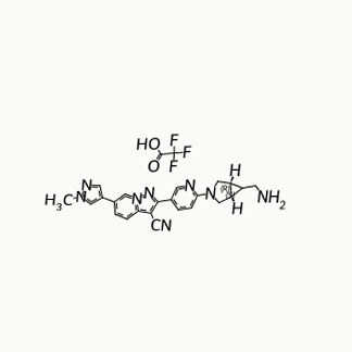 Cn1cc(-c2ccc3c(C#N)c(-c4ccc(N5C[C@@H]6C(CN)[C@@H]6C5)nc4)nn3c2)cn1.O=C(O)C(F)(F)F